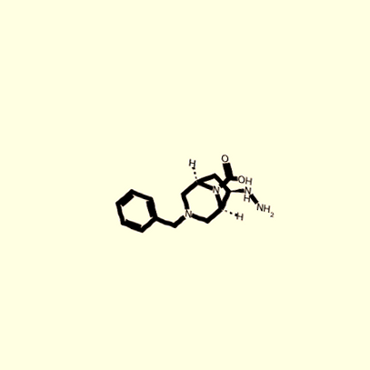 NN[C@@H]1C[C@@H]2CN(Cc3ccccc3)C[C@H]1N2C(=O)O